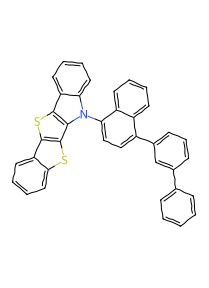 c1ccc(-c2cccc(-c3ccc(-n4c5ccccc5c5sc6c7ccccc7sc6c54)c4ccccc34)c2)cc1